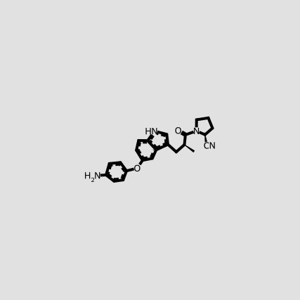 C[C@@H](Cc1c[nH]c2ccc(Oc3ccc(N)cc3)cc12)C(=O)N1CCC[C@H]1C#N